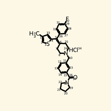 Cc1csc(C(=C2CCN(Cc3cccc(C(=O)N4CCCC4)c3)CC2)c2ccc(F)cc2)c1.Cl